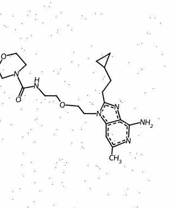 Cc1cc2c(nc(CCC3CC3)n2CCOCCNC(=O)N2CCOCC2)c(N)n1